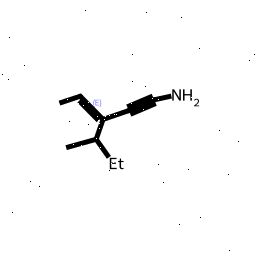 C/C=C(/C#CN)C(C)CC